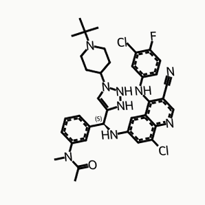 CC(=O)N(C)c1cccc([C@H](Nc2cc(Cl)c3ncc(C#N)c(Nc4ccc(F)c(Cl)c4)c3c2)C2=CN(C3CCN(C(C)(C)C)CC3)NN2)c1